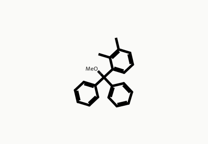 COC(c1ccccc1)(c1ccccc1)c1cccc(C)c1C